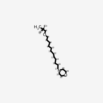 CC(F)(F)COCCCCCCCCCCCCN1CCOCC1